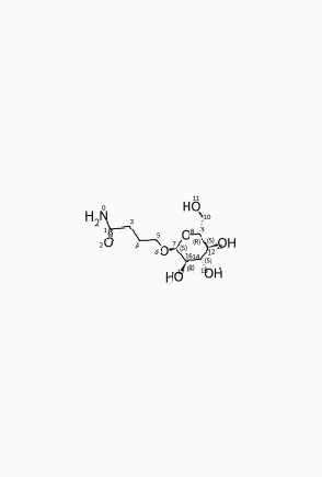 NC(=O)CCCO[C@H]1O[C@H](CO)[C@@H](O)[C@H](O)[C@H]1O